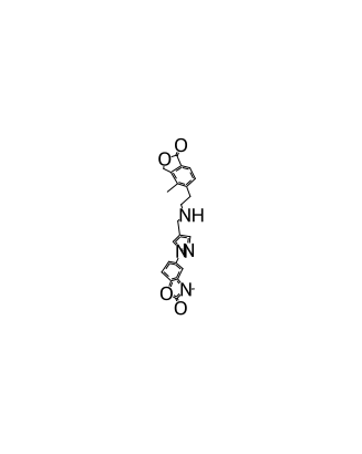 Cc1c(CCNCc2cnn(-c3ccc4oc(=O)n(C)c4c3)c2)ccc2c1COC2=O